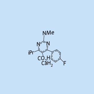 CNc1nc(-c2ccc(F)cc2)c(C(=O)O)c(C(C)C)n1.[CaH2]